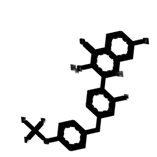 Cc1c(-c2ccc(Cc3ccc(OC(F)(F)F)cc3)cc2F)[nH]c2cc(Cl)ccc2c1=O